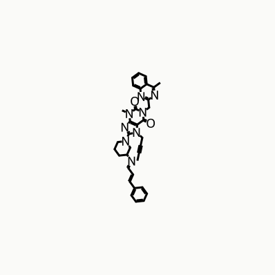 CC#CCn1c(N2CCCC(N=C/C=C/c3ccccc3)C2)nc2c1c(=O)n(Cc1nc(C)c3ccccc3n1)c(=O)n2C